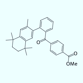 COC(=O)c1ccc(C(=O)c2ccccc2-c2cc3c(cc2C)C(C)(C)CCC3(C)C)cc1